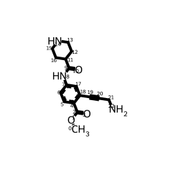 COC(=O)c1ccc(NC(=O)C2CCNCC2)cc1C#CCN